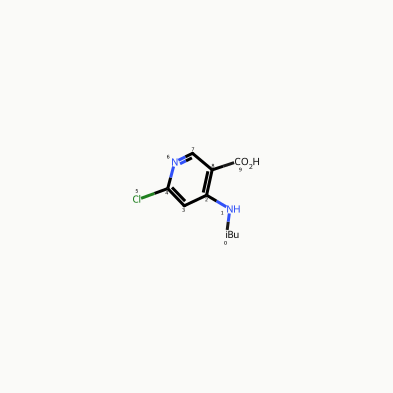 CCC(C)Nc1cc(Cl)ncc1C(=O)O